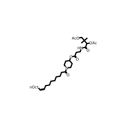 CCCCCCCC/C=C\CCCCCCCC(=O)N1CCC(OC(=O)CCNC(=O)C(OC(C)=O)C(C)(C)COC(C)=O)CC1